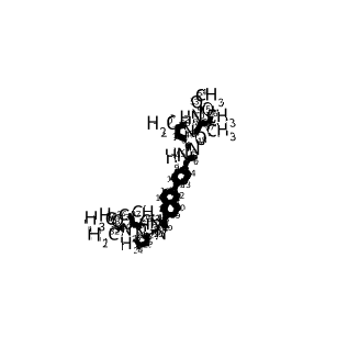 C=C1C[C@@H](c2ncc(-c3ccc(-c4ccc5cc(-c6cnc([C@@H]7CCCN7C(=C)[C@@H](NC(=C)OC)C(C)C)[nH]6)ccc5c4)cc3)[nH]2)N(C(=O)[C@@H](NC(=O)OC)C(C)C)C1